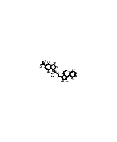 CCC1C(CCC(=O)C2CCc3cc(C(C)C)ccc32)=CC=C1c1ccccc1